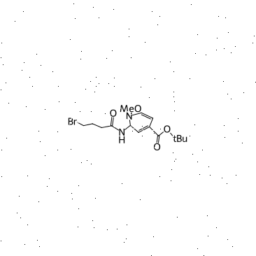 CON1C=CC(C(=O)OC(C)(C)C)=CC1NC(=O)CCCBr